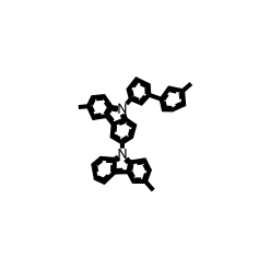 Cc1cccc(-c2cccc(-n3c4ccc(C)cc4c4cc(-n5c6ccccc6c6cc(C)ccc65)ccc43)c2)c1